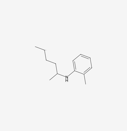 C[CH]CCC(C)Nc1ccccc1C